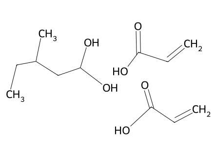 C=CC(=O)O.C=CC(=O)O.CCC(C)CC(O)O